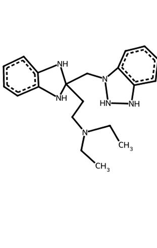 CCN(CC)CCC1(CN2NNc3ccccc32)Nc2ccccc2N1